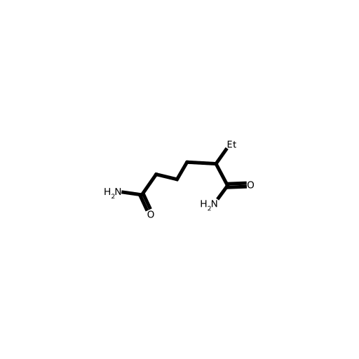 CCC(CCCC(N)=O)C(N)=O